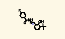 CC(C)(C)c1cccc(/C=N/NC(=O)c2ccc(F)cc2)c1O